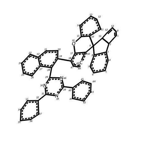 C1=CC2c3ccccc3C3(c4ccccc4Oc4c(-c5ccc6ccccc6c5-c5nc(-c6ccccc6)nc(-c6ccccc6)n5)cccc43)C2C=C1